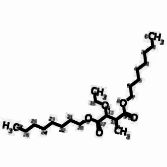 CCCCCCCCOC(=O)C(C)C(OCC)C(=O)OCCCCCCCC